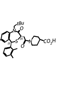 Cc1ccc2c(c1)[C@H](c1cccc(C)c1C)S[C@@H](CC(=O)N1CCC(C(=O)O)CC1)C(=O)N2CC(C)(C)C